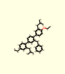 CCOc1ccc(-c2ccc(-c3ccc(CC)cc3CC(C)C)cc2Cc2ccccc2)cc1CC(C)C